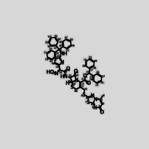 Cc1cc(=O)nc2sc(SCC3=C(C(=O)OC(c4ccccc4)c4ccccc4)N4C(=O)[C@@H](NC(=O)C(=NO)c5csc(NC(c6ccccc6)(c6ccccc6)c6ccccc6)n5)[C@H]4SC3)nn12